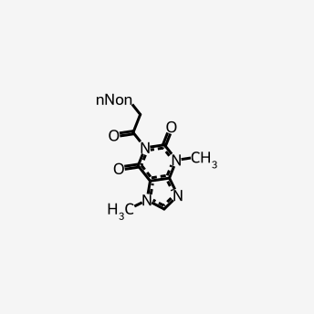 CCCCCCCCCCC(=O)n1c(=O)c2c(ncn2C)n(C)c1=O